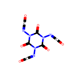 O=C=Nn1c(=O)n(N=C=O)c(=O)n(N=C=O)c1=O